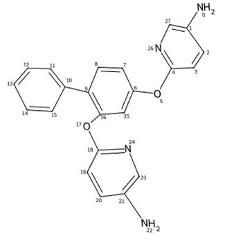 Nc1ccc(Oc2ccc(-c3ccccc3)c(Oc3ccc(N)cn3)c2)nc1